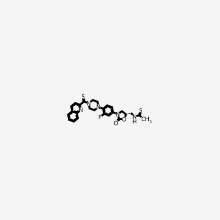 CC(=S)NC[C@H]1CN(c2ccc(N3CCN(C(=S)c4ccc5ccccc5n4)CC3)c(F)c2)C(=O)O1